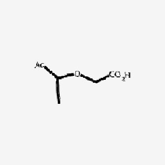 CC(=O)C(C)OCC(=O)O